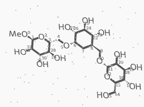 CO[C@H]1O[C@H](CO[C@H]2C[C@H](CO[C@H]3O[C@H](CO)[C@@H](O)[C@H](O)C3O)[C@@H](O)[C@H](O)[C@H]2O)[C@@H](O)[C@H](O)[C@H]1O